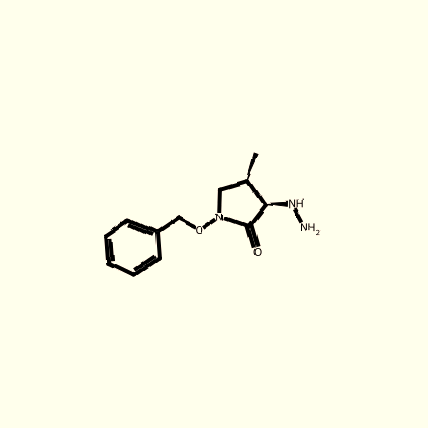 C[C@@H]1CN(OCc2ccccc2)C(=O)[C@@H]1NN